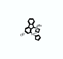 CCCC[Si]1(C2c3ccccc3-c3ccc[c]([Hf+2][C]4=CC=CC4)c32)CCC1.[Cl-].[Cl-]